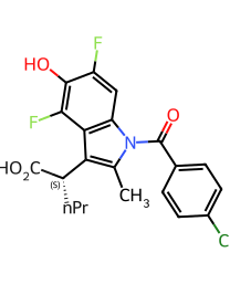 CCC[C@H](C(=O)O)c1c(C)n(C(=O)c2ccc(Cl)cc2)c2cc(F)c(O)c(F)c12